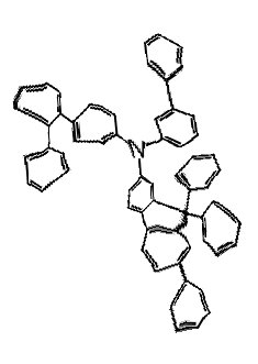 c1ccc(-c2cccc(N(c3ccc(-c4ccccc4-c4ccccc4)cc3)c3ccc4c(c3)C(c3ccccc3)(c3ccccc3)c3cc(-c5ccccc5)ccc3-4)c2)cc1